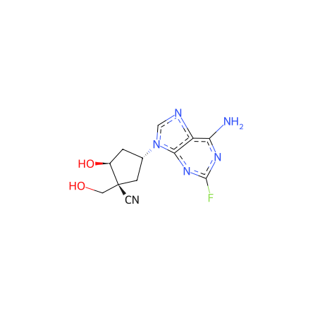 N#C[C@]1(CO)C[C@@H](n2cnc3c(N)nc(F)nc32)C[C@@H]1O